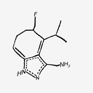 CC(C)C1=c2c(N)n[nH]c2=CCC1F